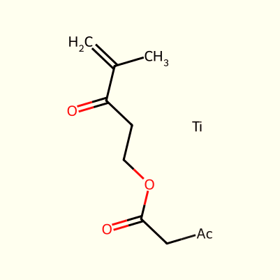 C=C(C)C(=O)CCOC(=O)CC(C)=O.[Ti]